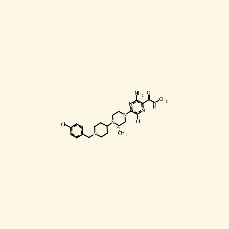 CNC(=O)c1nc(Cl)c(N2CCN(C3CCN(Cc4ccc(Cl)cc4)CC3)[C@@H](C)C2)nc1N